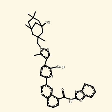 Cc1c(-c2ccc(-c3cnc4cccc(C(=O)Nc5nc6ccccc6s5)c4c3)nc2C(=O)O)cnn1CC1(C)CC2(C)CC(C)(C)CC(N=O)(C1)C2